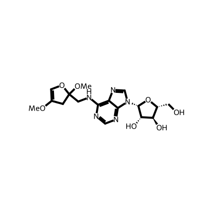 COC1=COC(CNc2ncnc3c2ncn3[C@@H]2O[C@H](CO)[C@@H](O)[C@@H]2O)(OC)C1